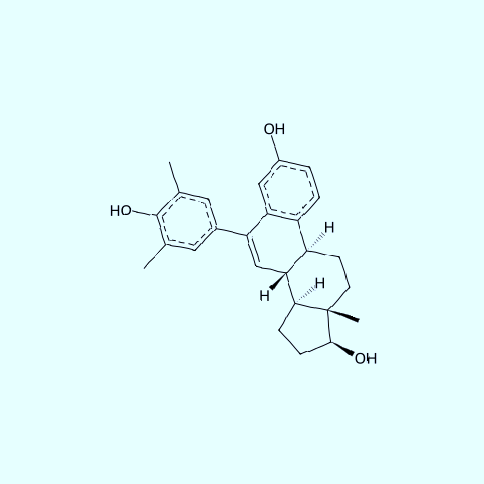 Cc1cc(C2=C[C@@H]3[C@H](CC[C@]4(C)[C@@H](O)CC[C@@H]34)c3ccc(O)cc32)cc(C)c1O